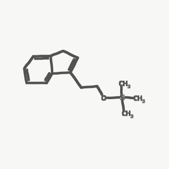 C[Si](C)(C)OCCC1=CCc2ccccc21